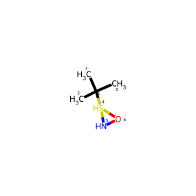 CC(C)(C)[SH]1NO1